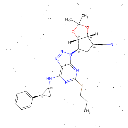 CCCSc1nc(N[C@@H]2C[C@H]2c2ccccc2)c2nnn([C@@H]3C[C@H](C#N)[C@H]4OC(C)(C)O[C@H]43)c2n1